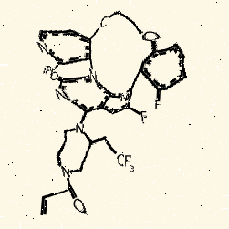 C=CC(=O)N1CCN(c2nc(=O)n3c4nc(c(F)cc24)-c2c(F)cccc2OCCCc2ccnc(C(C)C)c2-3)C(CC(F)(F)F)C1